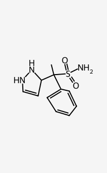 CC(c1ccccc1)(C1C=CNN1)S(N)(=O)=O